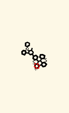 CC1CC(c2ccc3c(c2)SC2=CCCC=C2C3C2c3ccccc3Sc3cccc(C4=C[C@H](C)CC=C4)c32)=CC2c3ccccc3N(C3=CCCC=C3)C12